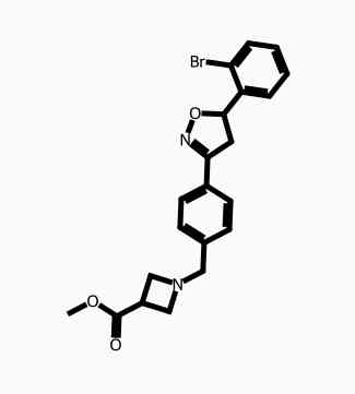 COC(=O)C1CN(Cc2ccc(C3=NOC(c4ccccc4Br)C3)cc2)C1